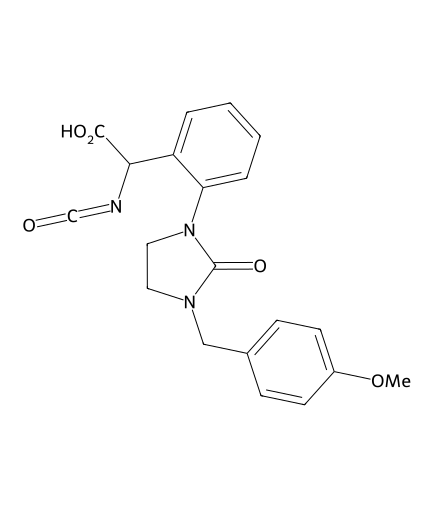 COc1ccc(CN2CCN(c3ccccc3C(N=C=O)C(=O)O)C2=O)cc1